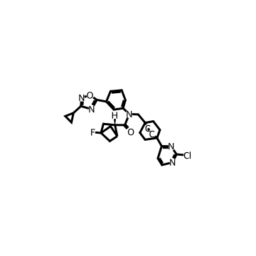 O=C([C@H]1CC2(F)CC1C2)N(CC12CCC(c3ccnc(Cl)n3)(CC1)CC2)c1cccc(-c2nc(C3CC3)no2)c1